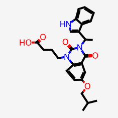 CC(C)COc1ccc2c(c1)c(=O)n(C(C)c1c[nH]c3ccccc13)c(=O)n2CCCC(=O)O